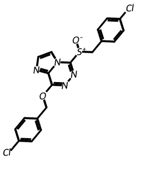 [O-][S+](Cc1ccc(Cl)cc1)c1nnc(OCc2ccc(Cl)cc2)c2nccn12